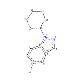 Cc1ccc2c(cnn2C2CCCCC2)c1